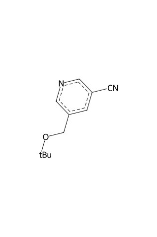 CC(C)(C)OCc1cncc(C#N)c1